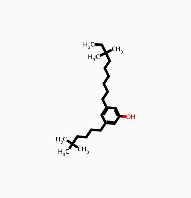 CCC(C)(C)CCCCCCc1cc(O)cc(CCCCC(C)(C)C)c1